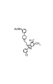 CC(=O)Nc1cccc(C2CCN(CCCn3c(-c4cccc(Cl)c4)nc4cc(C)c(C)cc43)CC2)c1